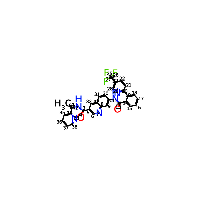 C[C@@H](NC(=O)c1cnc2cc(NC(=O)c3ccccc3-c3ccc(C(F)(F)F)cn3)ccc2c1)c1ccccn1